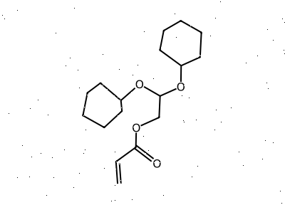 C=CC(=O)OCC(OC1CCCCC1)OC1CCCCC1